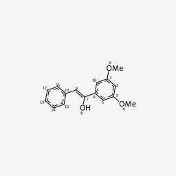 COc1cc(OC)cc(C(O)=Cc2ccccc2)c1